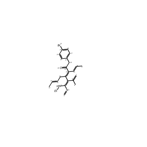 C=N/C(NCC)=C(C(=C)C)/C(CC=CC)=C(\C=C\C)C(=O)Cc1ccc(Br)cc1